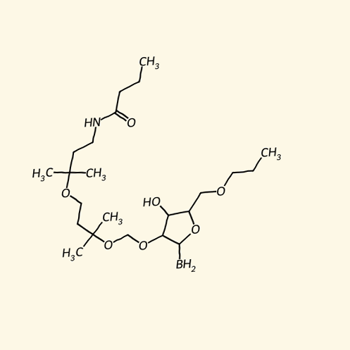 BC1OC(COCCC)C(O)C1OCOC(C)(C)CCOC(C)(C)CCNC(=O)CCC